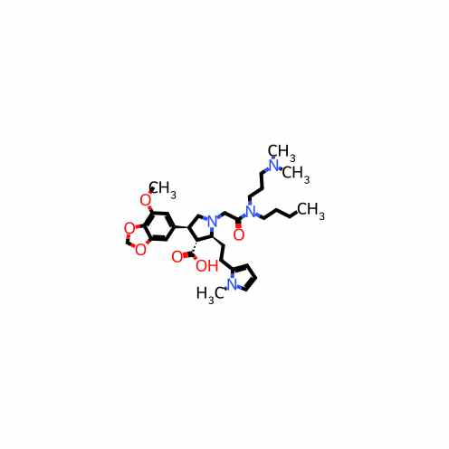 CCCCN(CCCN(C)C)C(=O)CN1C[C@H](c2cc(OC)c3c(c2)OCO3)[C@@H](C(=O)O)[C@@H]1CCc1cccn1C